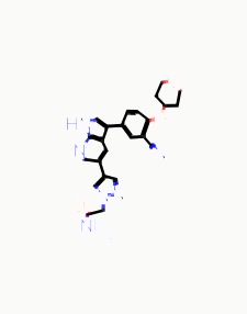 N#Cc1cc(-c2c[nH]c3ncc(-c4cnn(CC(N)=O)c4)cc23)ccc1OC1CCOCC1